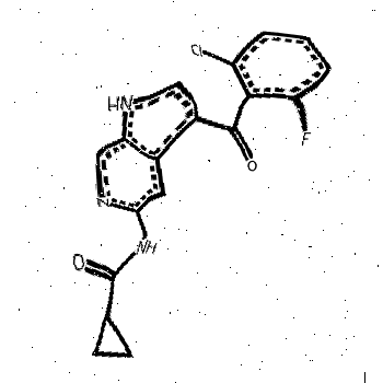 O=C(c1c(F)cccc1Cl)c1c[nH]c2cnc(NC(=O)C3CC3)cc12